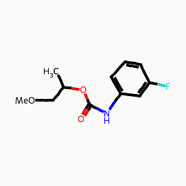 COCC(C)OC(=O)Nc1cccc(F)c1